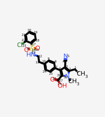 CCc1c(C#N)c(-c2ccc(CCNS(=O)(=O)c3ccccc3Cl)cc2)c(C(=O)O)n1C